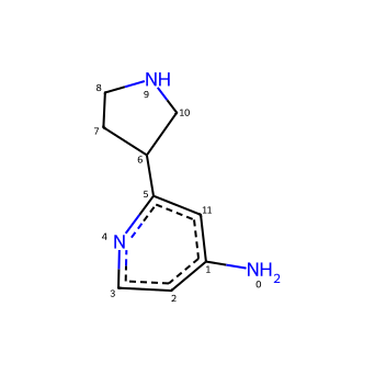 Nc1ccnc(C2CCNC2)c1